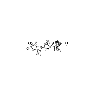 CC(C)(CN(C(=O)O)C(C)(C)C)NC(=O)c1ccc(/C=C/C(c2cc(Cl)c(Cl)c(Cl)c2)C(F)(F)F)cc1C(F)(F)F